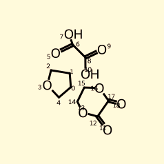 C1CCOC1.O=C(O)C(=O)O.O=C1OCCOC1=O